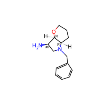 N[C@@H]1CN(Cc2ccccc2)[C@@H]2CCCO[C@H]12